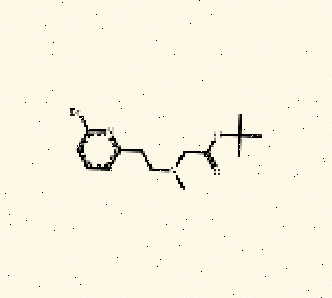 CN(CCc1cccc(Br)n1)CC(=O)OC(C)(C)C